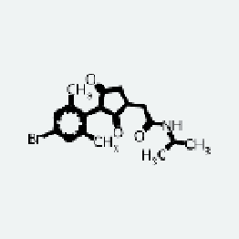 Cc1cc(Br)cc(C)c1C1C(=O)CC(CC(=O)NC(C)C)C1=O